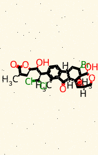 Cc1c([C@@H](C(Cl)Cl)[C@H](O)[C@H]2C[C@@H](C)C(=O)O2)ccc2c1C(=O)[C@H]1[C@H]2C[C@H](Br)[C@@]23O[C@@H](CO[C@H]2O)C[C@]13C